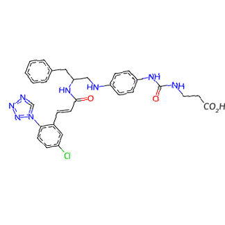 O=C(O)CCNC(=O)Nc1ccc(NCC(Cc2ccccc2)NC(=O)/C=C/c2cc(Cl)ccc2-n2cnnn2)cc1